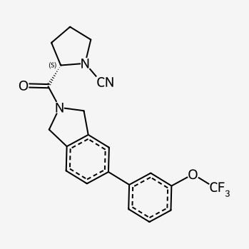 N#CN1CCC[C@H]1C(=O)N1Cc2ccc(-c3cccc(OC(F)(F)F)c3)cc2C1